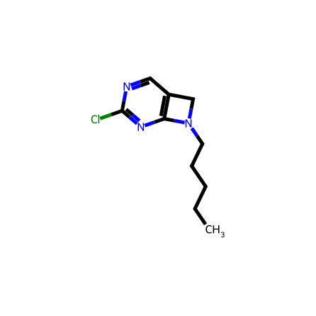 CCCCCN1Cc2cnc(Cl)nc21